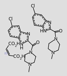 CN1CCN(C(=O)c2nc3cc(Cl)ccc3[nH]2)CC1.CN1CCN(C(=O)c2nc3cc(Cl)ccc3[nH]2)CC1.O=C(O)/C=C\C(=O)O